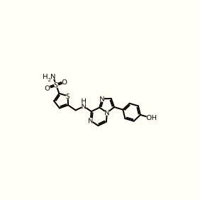 NS(=O)(=O)c1ccc(CNc2nccn3c(-c4ccc(O)cc4)cnc23)s1